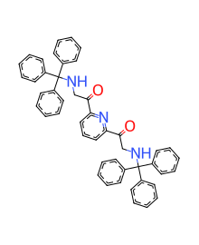 O=C(CNC(c1ccccc1)(c1ccccc1)c1ccccc1)c1cccc(C(=O)CNC(c2ccccc2)(c2ccccc2)c2ccccc2)n1